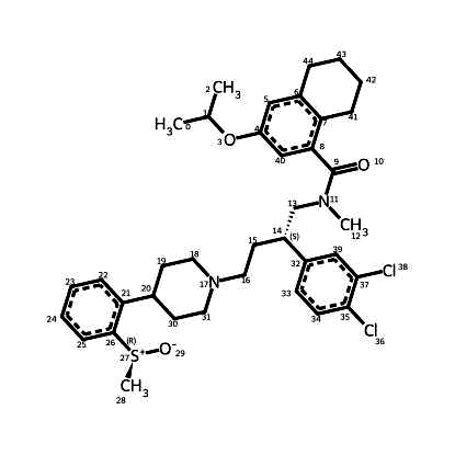 CC(C)Oc1cc2c(c(C(=O)N(C)C[C@@H](CCN3CCC(c4ccccc4[S@+](C)[O-])CC3)c3ccc(Cl)c(Cl)c3)c1)CCCC2